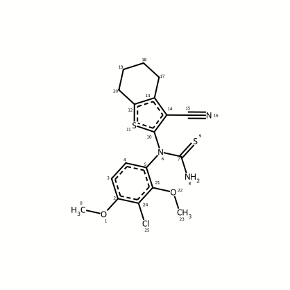 COc1ccc(N(C(N)=S)c2sc3c(c2C#N)CCCC3)c(OC)c1Cl